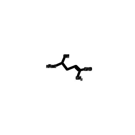 CCCCCC(O)C/C=C(\C)C=O